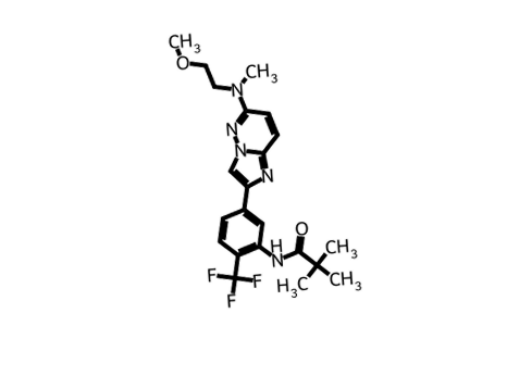 COCCN(C)c1ccc2nc(-c3ccc(C(F)(F)F)c(NC(=O)C(C)(C)C)c3)cn2n1